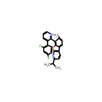 Cc1ccc2c(oc3nc(C(C)C)ccc32)c1-c1ncccc1-c1ccc(F)cc1F